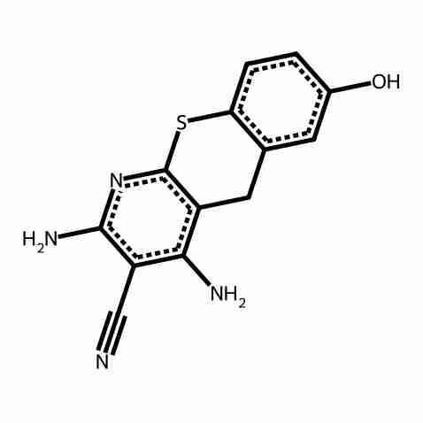 N#Cc1c(N)nc2c(c1N)Cc1cc(O)ccc1S2